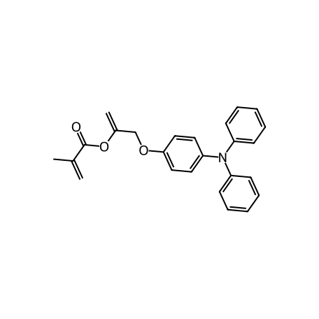 C=C(COc1ccc(N(c2ccccc2)c2ccccc2)cc1)OC(=O)C(=C)C